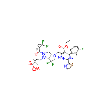 CCOC(=O)C1=C(CN2CC(F)(F)C3C2CN(C(=O)[C@H]2CC2(F)F)N3CCC(C)(C)C(=O)O)NC(c2nccs2)=NC1c1cccc(F)c1C